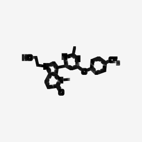 Cc1nc(Oc2ccc(C(F)(F)F)cc2)cc(-c2cn(CCO)c3ccc(=O)n(C)c23)n1